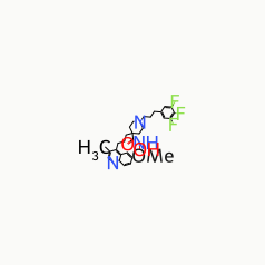 COc1ccc2ncc(C)c(CCCC3(C(=O)NO)CCN(CCCc4cc(F)c(F)c(F)c4)CC3)c2c1